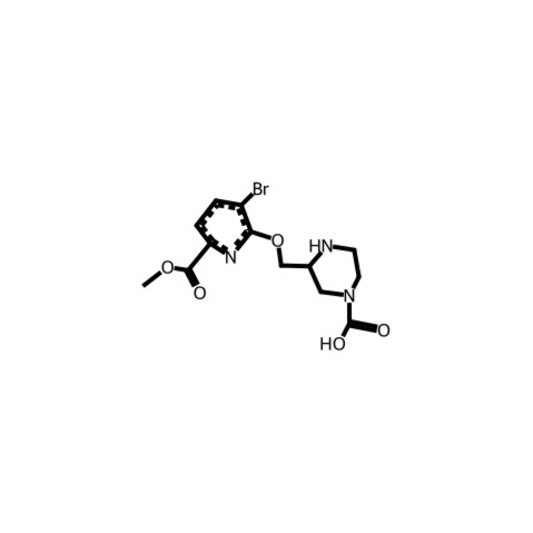 COC(=O)c1ccc(Br)c(OCC2CN(C(=O)O)CCN2)n1